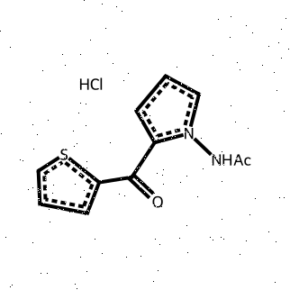 CC(=O)Nn1cccc1C(=O)c1cccs1.Cl